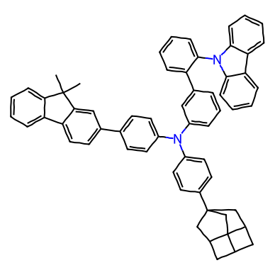 CC1(C)c2ccccc2-c2ccc(-c3ccc(N(c4ccc(C56CC7CC8CC(C5)C87C6)cc4)c4cccc(-c5ccccc5-n5c6ccccc6c6ccccc65)c4)cc3)cc21